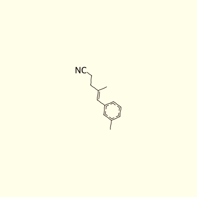 C/C(=C\c1cccc(C)c1)CCC#N